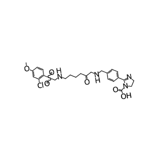 COc1ccc(S(=O)(=O)CNCCCCC(=O)CNCc2ccc(C3=NCCN3C(=O)O)cc2)c(Cl)c1